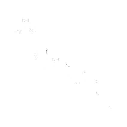 CNC(=O)[C@@H](CCCCNC(=N)N)NC(=O)c1csc([C@@H]2CCCN2C(=O)c2cn3cc(Cl)ccc3n2)n1